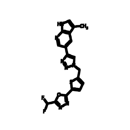 Cc1c[nH]c2ncc(-c3cn(Cc4ccc(-c5nnc(C(F)F)o5)s4)nn3)cc12